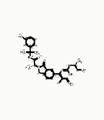 C=C/C(Cl)=C(\N=C(/C)N[C@@H](C)CO)c1ccc2c(c1)C(=O)N([C@H](C)C(=O)NC(C)(C)c1cccc(O)c1)C2